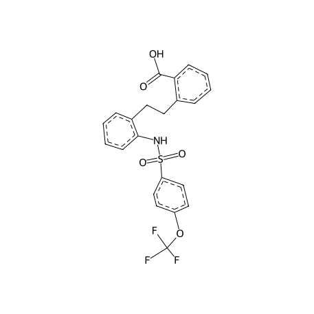 O=C(O)c1ccccc1CCc1ccccc1NS(=O)(=O)c1ccc(OC(F)(F)F)cc1